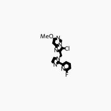 COc1cc2nc(Cn3ccnc3-c3cccc(F)n3)c(Cl)n2cn1